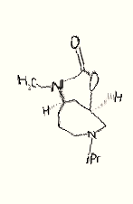 CC(C)N1C[C@@H]2OC(=O)N(C)[C@@H]2C1